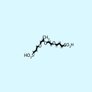 CC(COCCCS(=O)(=O)O)OCCOCCCS(=O)(=O)O